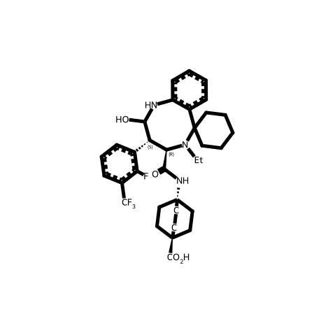 CCN1[C@@H](C(=O)N[C@]23CC[C@@](C(=O)O)(CC2)CC3)[C@H](c2cccc(C(F)(F)F)c2F)C(O)Nc2ccccc2C12CCCCC2